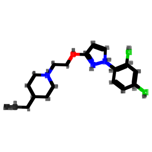 COCC1CCN(CCOc2ccn(-c3ccc(Cl)cc3Cl)n2)CC1